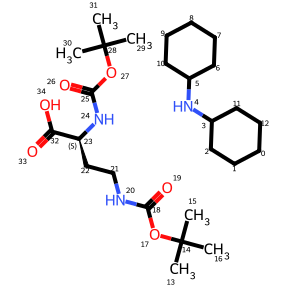 C1CCC(NC2CCCCC2)CC1.CC(C)(C)OC(=O)NCC[C@H](NC(=O)OC(C)(C)C)C(=O)O